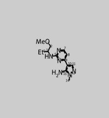 CCC(COC)Nc1nccc(-c2cnn(C)c2N)n1